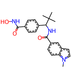 Cn1ccc2cc(C(=O)NC(c3ccc(C(=O)NO)cc3)C(C)(C)C)ccc21